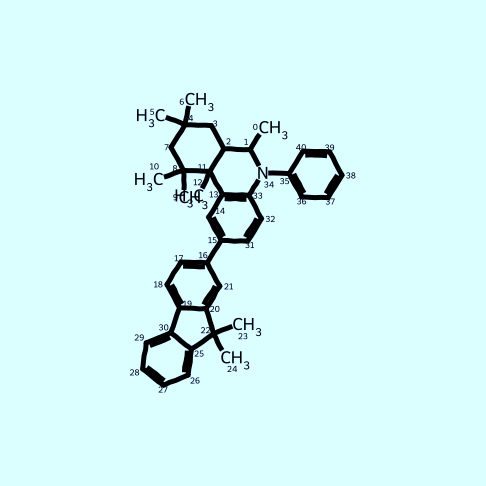 CC1C2CC(C)(C)CC(C)(C)C2(C)c2cc(-c3ccc4c(c3)C(C)(C)c3ccccc3-4)ccc2N1c1ccccc1